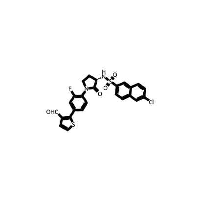 O=Cc1ccsc1-c1ccc(N2CC[C@H](NS(=O)(=O)c3ccc4cc(Cl)ccc4c3)C2=O)c(F)c1